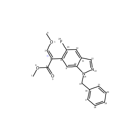 CO/C=C(/C(=O)OC)c1cc2c(cnn2Cc2ccccc2)cc1F